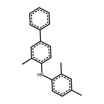 Cc1ccc(Nc2ccc(-c3ccccc3)cc2C)c(C)c1